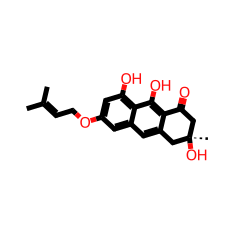 CC(C)=CCOc1cc(O)c2c(O)c3c(cc2c1)C[C@](C)(O)CC3=O